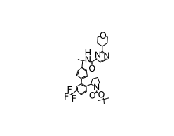 C[C@@H](NC(=O)c1ccnc(C2CCOCC2)n1)c1ccc(-c2cc(C(F)(F)F)ccc2C2CCCN2C(=O)OC(C)(C)C)cc1